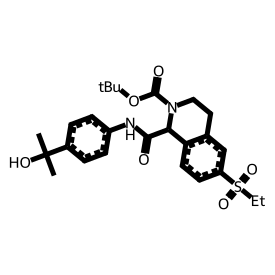 CCS(=O)(=O)c1ccc2c(c1)CCN(C(=O)OC(C)(C)C)C2C(=O)Nc1ccc(C(C)(C)O)cc1